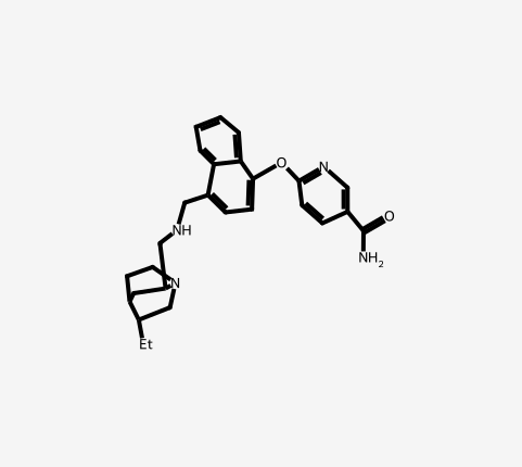 CCC1CN2CCC1CC2CNCc1ccc(Oc2ccc(C(N)=O)cn2)c2ccccc12